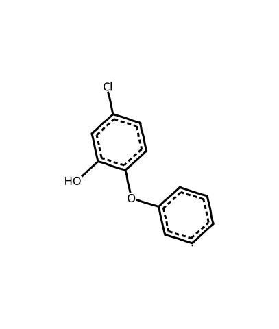 Oc1cc(Cl)ccc1Oc1c[c]ccc1